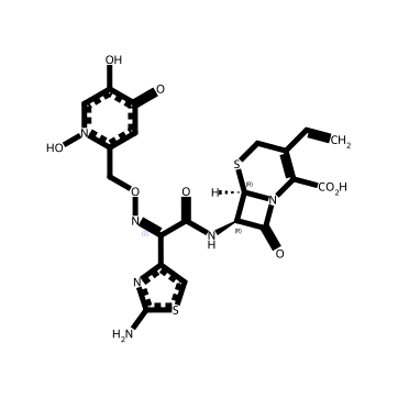 C=CC1=C(C(=O)O)N2C(=O)[C@@H](NC(=O)/C(=N\OCc3cc(=O)c(O)cn3O)c3csc(N)n3)[C@H]2SC1